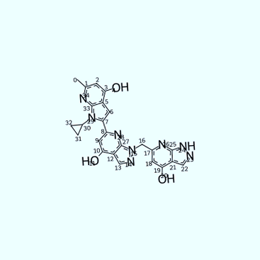 Cc1cc(O)c2cc(-c3cc(O)c4cnn(Cc5cc(O)c6cn[nH]c6n5)c4n3)n(C3CC3)c2n1